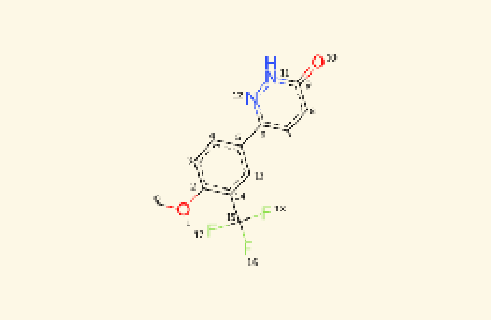 COc1ccc(-c2ccc(=O)[nH]n2)cc1C(F)(F)F